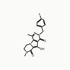 Cc1nn(Cc2ccc(F)cc2)c(=O)c2c(O)c3n(c12)CCN(C)C3=O